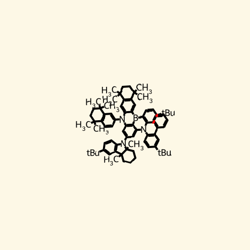 CC(C)(C)c1ccc(N2c3cc(C(C)(C)C)ccc3B3c4cc5c(cc4N(c4ccc6c(c4)C(C)(C)CCC6(C)C)c4cc(N6c7ccc(C(C)(C)C)cc7C7(C)CCCCC67C)cc2c43)C(C)(C)CCC5(C)C)c(-c2ccccc2)c1